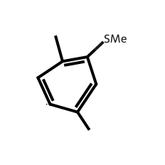 CSc1cc(C)[c]cc1C